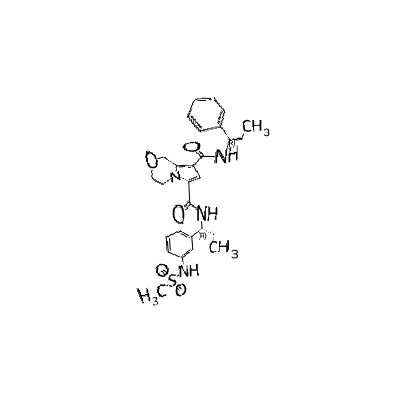 CC[C@@H](NC(=O)c1cc(C(=O)N[C@H](CC)c2cccc(NS(C)(=O)=O)c2)n2c1COCC2)c1ccccc1